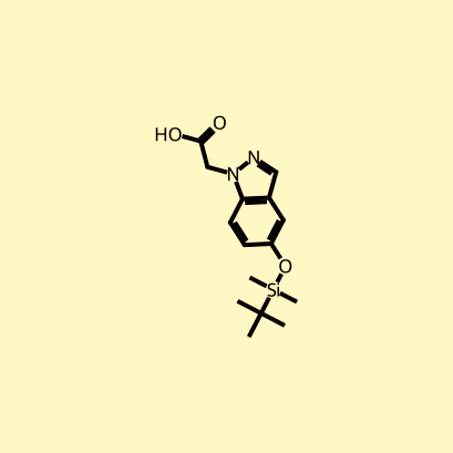 CC(C)(C)[Si](C)(C)Oc1ccc2c(cnn2CC(=O)O)c1